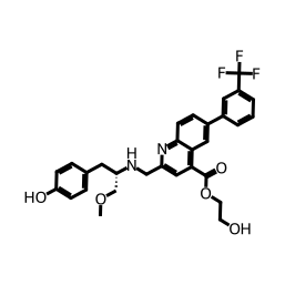 COC[C@H](Cc1ccc(O)cc1)NCc1cc(C(=O)OCCO)c2cc(-c3cccc(C(F)(F)F)c3)ccc2n1